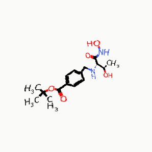 C[C@@H](O)[C@H](NCc1ccc(C(=O)OC(C)(C)C)cc1)C(=O)NO